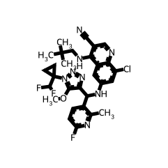 COc1c(C(Nc2cc(Cl)c3ncc(C#N)c(NCC(C)(C)C)c3c2)c2ccc(F)nc2C)nnn1C1(C(F)F)CC1